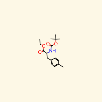 CCOC(=O)C(Cc1ccc(C)cc1)NC(=O)OC(C)(C)C